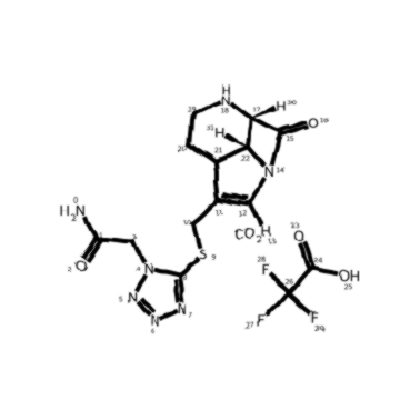 NC(=O)Cn1nnnc1SCC1=C(C(=O)O)N2C(=O)[C@H]3NCCC1[C@H]32.O=C(O)C(F)(F)F